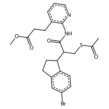 COC(=O)CCc1cccnc1NC(=O)C(CSC(C)=O)C1CCc2cc(Br)ccc21